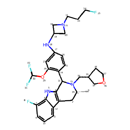 C[C@@H]1Cc2c([nH]c3c(F)cccc23)C(c2ccc(NC3CN(CCCF)C3)cc2OC(F)F)N1CC1CCOC1